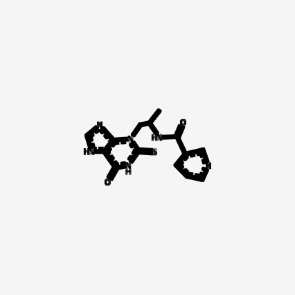 CC(Cn1c(=S)[nH]c(=O)c2[nH]cnc21)NC(=O)c1cccnc1